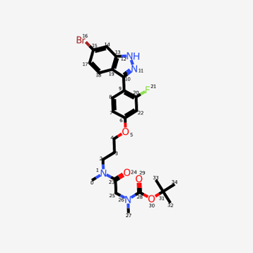 CN(CCCOc1ccc(-c2n[nH]c3cc(Br)ccc23)c(F)c1)C(=O)CN(C)C(=O)OC(C)(C)C